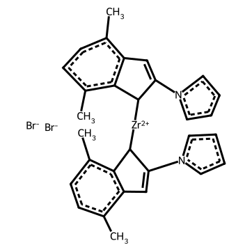 Cc1ccc(C)c2c1C=C(n1cccc1)[CH]2[Zr+2][CH]1C(n2cccc2)=Cc2c(C)ccc(C)c21.[Br-].[Br-]